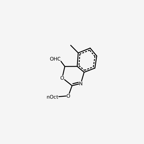 CCCCCCCCOC1=Nc2cccc(C)c2C(C=O)O1